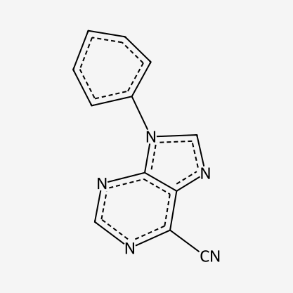 N#Cc1ncnc2c1ncn2-c1ccccc1